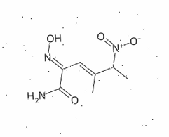 C/C(=C\C(=N/O)C(N)=O)C(C)[N+](=O)[O-]